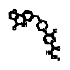 CNC(=O)c1ccc(N2CCN(Cc3ccc4c5c(c(=O)[nH]c4c3)CCO5)CC2)c(Cl)n1